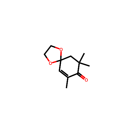 CC1=CC2(CC(C)(C)C1=O)OCCO2